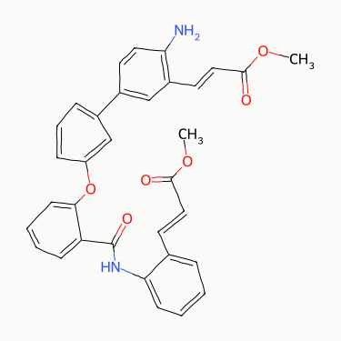 COC(=O)/C=C/c1cc(-c2cccc(Oc3ccccc3C(=O)Nc3ccccc3/C=C/C(=O)OC)c2)ccc1N